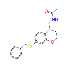 CC(=O)NCC1CCOc2cc(SCc3ccccc3)ccc21